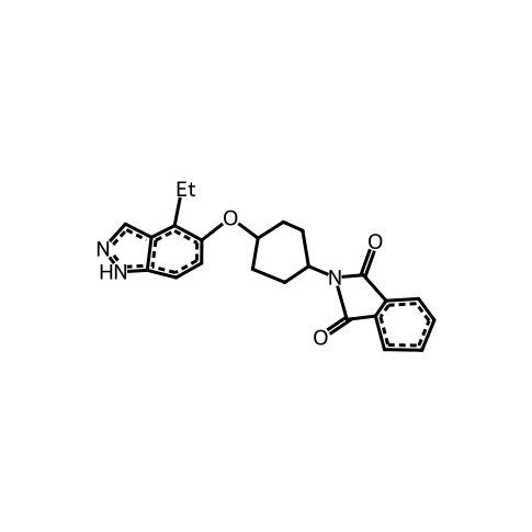 CCc1c(OC2CCC(N3C(=O)c4ccccc4C3=O)CC2)ccc2[nH]ncc12